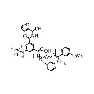 CCS(=O)(=O)Nc1cc(C(=O)NC(C)c2ccco2)cc(C(=O)N[C@@H](Cc2ccccc2)[C@H](O)CN[C@H](C)c2cccc(OC)c2)c1